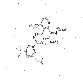 CNC(=O)/C(=N/OC)c1cccc(C)c1CO/N=C(\C)c1cc(C(F)F)nc(C)n1